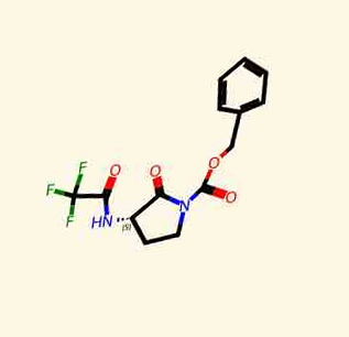 O=C(OCc1ccccc1)N1CC[C@H](NC(=O)C(F)(F)F)C1=O